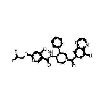 O=C(N[C@@H]1CCN(C(=O)c2cc(Cl)c3nccnc3c2)C[C@@H]1c1ccccc1)c1cnc(OCC(F)F)cc1C(F)(F)F